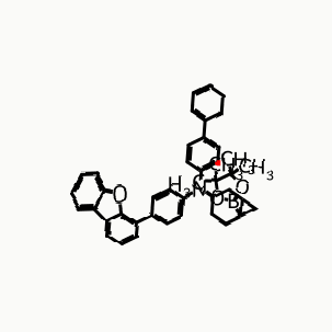 CC1(C)OB(C23CCC(N(c4ccc(C5=CC=CCC5)cc4)c4ccc(-c5cccc6c5oc5ccccc56)cc4)CC2C3)OC1(C)C